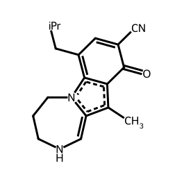 Cc1c2c(n3c1=CNCCC3)=C(CC(C)C)C=C(C#N)C2=O